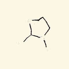 CCN1CCNC1O